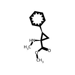 CN[C@]1(C(=O)OC)C[C@@H]1c1ccccc1